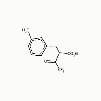 CCOC(=O)C(Cc1cccc(C)c1)C(=O)C(F)(F)F